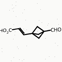 O=CC12CC(/C=C/C(=O)O)(C1)C2